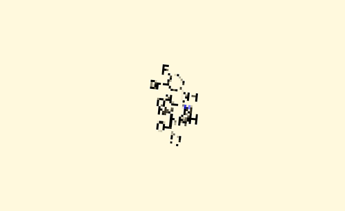 O=C(Nc1nonc1/C(=N\O)Nc1ccc(F)c(Br)c1)C1CCC1